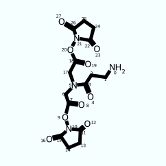 NCCC(=O)N(CC(=O)ON1C(=O)CCC1=O)CC(=O)ON1C(=O)CCC1=O